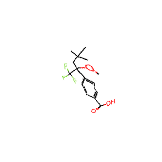 COC(CC(C)(C)C)(c1ccc(C(=O)O)cc1)C(F)(F)F